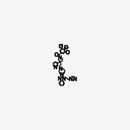 COc1cc(C(=O)N2CCC(CCN3CCCN(c4nc5ccccc5n4CCn4ccnc4)CC3)(c3cccnc3)C2)cc(OC)c1OC